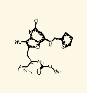 C[C@H](F)[C@@H](Cc1oc2c(NCc3cccs3)cc(Cl)nc2c1C#N)NC(=O)OC(C)(C)C